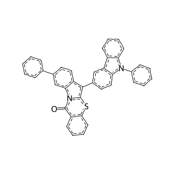 O=c1c2ccccc2sc2c(-c3ccc4c(c3)c3ccccc3n4-c3ccccc3)c3ccc(-c4ccccc4)cc3n12